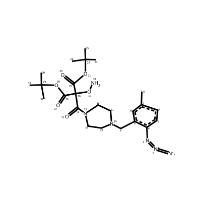 [CH2]c1ccc(N=[N+]=[N-])c(CN2CCN(C(=O)C(ON)(C(=O)OC(C)(C)C)C(=O)OC(C)(C)C)CC2)c1